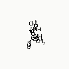 C=C(Cl)C(=O)Nc1cc2c(Nc3ccc(F)c(Cl)c3)ncnc2cc1OCCCN1CCOCC1